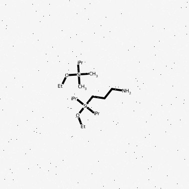 CCO[Si](C)(C)C(C)C.CCO[Si](CCCN)(C(C)C)C(C)C